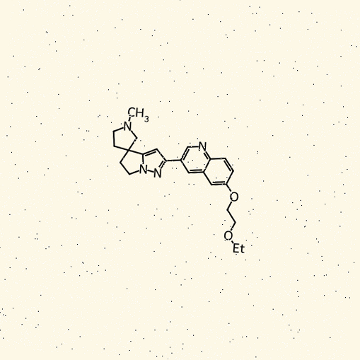 CCOCCOc1ccc2ncc(-c3cc4n(n3)CCC43CCN(C)C3)cc2c1